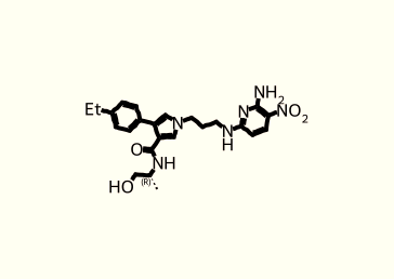 CCc1ccc(-c2cn(CCCNc3ccc([N+](=O)[O-])c(N)n3)cc2C(=O)N[C@H](C)CO)cc1